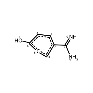 N=C(N)c1c[c]c(O)cc1